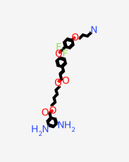 N#CCCCOc1ccc(C(F)(F)Oc2ccc(/C=C/C(=O)OCCCCCCOC(=O)c3cc(N)cc(N)c3)cc2)cc1